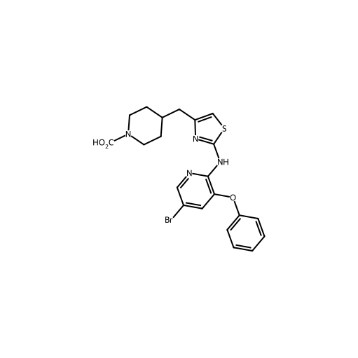 O=C(O)N1CCC(Cc2csc(Nc3ncc(Br)cc3Oc3ccccc3)n2)CC1